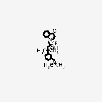 CN(C)Cc1cccc(C(C)(C)CC(O)(Cn2ccc(=O)c3ccccc32)C(F)(F)F)c1